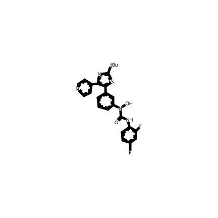 CC(C)(C)c1nc(-c2ccncc2)c(-c2cccc(N(O)C(=O)Nc3ccc(F)cc3F)c2)s1